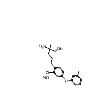 Cc1cccc(Oc2ccc(CCCC(C)(N)CO)c(Cl)c2)c1.Cl